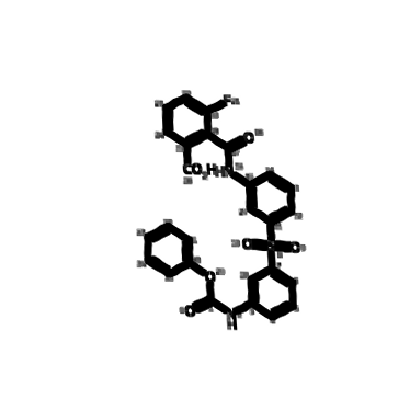 O=C(Nc1cccc(S(=O)(=O)c2cccc(NC(=O)c3c(F)cccc3C(=O)O)c2)c1)Oc1ccccc1